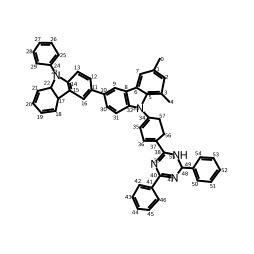 Cc1cc(C)c2c(c1)c1cc(-c3ccc4c(c3)C3C=CC=CC3N4c3ccccc3)ccc1n2C1=CC=C(C2=NC(c3ccccc3)=NC(c3ccccc3)N2)CC1